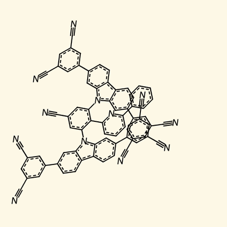 N#Cc1cc(C#N)cc(-c2ccc3c4ccc(-c5cc(C#N)cc(C#N)c5)cc4n(-c4cc(C#N)cc(-n5c6cc(-c7cc(C#N)cc(C#N)c7)ccc6c6ccc(-c7cc(C#N)cc(C#N)c7)cc65)c4-c4cccc(-c5ccccc5)n4)c3c2)c1